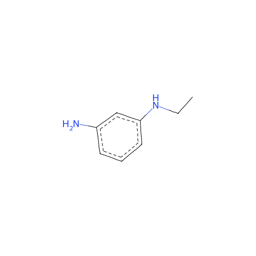 CCNc1cccc(N)c1